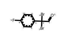 O=CC(Br)(Br)c1ccc(F)cc1